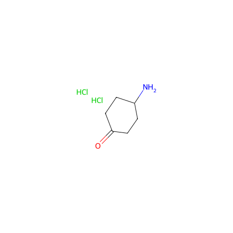 Cl.Cl.NC1CCC(=O)CC1